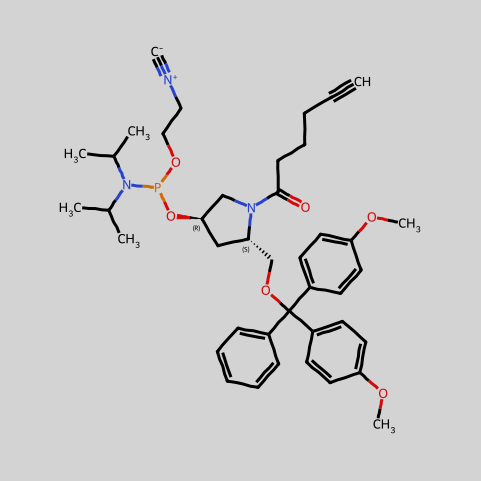 [C-]#[N+]CCOP(O[C@@H]1C[C@@H](COC(c2ccccc2)(c2ccc(OC)cc2)c2ccc(OC)cc2)N(C(=O)CCCC#C)C1)N(C(C)C)C(C)C